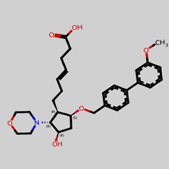 COc1cccc(-c2ccc(CO[C@H]3C[C@@H](O)[C@H](N4CCOCC4)[C@H]3CCC=CCCC(=O)O)cc2)c1